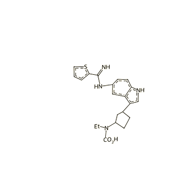 CCN(C(=O)O)C1CCC(c2c[nH]c3ccc(NC(=N)c4cccs4)cc23)C1